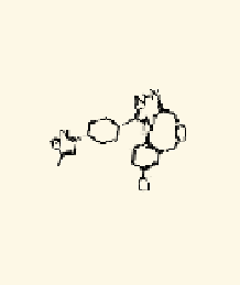 Cc1cc([C@H]2CC[C@H](c3nnc4n3-c3ccc(Cl)cc3COC4)CC2)no1